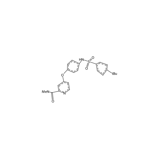 CNC(=O)c1cc(Oc2ccc(NS(=O)(=O)c3ccc(C(C)(C)C)cc3)cc2)ccn1